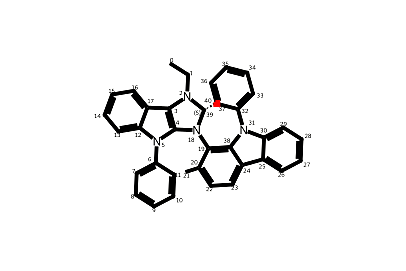 CCN1c2c(n(-c3ccccc3)c3ccccc23)N(c2c(C)ccc3c4ccccc4n(-c4ccccc4)c23)[C@H]1C